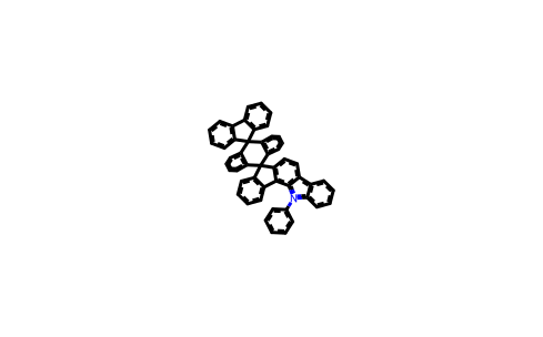 c1ccc(-n2c3ccccc3c3ccc4c(c32)-c2ccccc2C42c3ccccc3C3(c4ccccc4-c4ccccc43)c3ccccc32)cc1